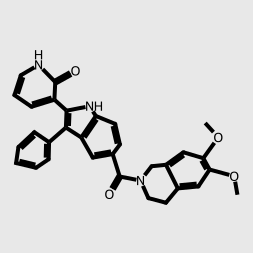 COc1cc2c(cc1OC)CN(C(=O)c1ccc3[nH]c(-c4ccc[nH]c4=O)c(-c4ccccc4)c3c1)CC2